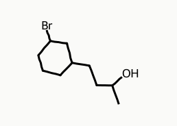 CC(O)CCC1CCCC(Br)C1